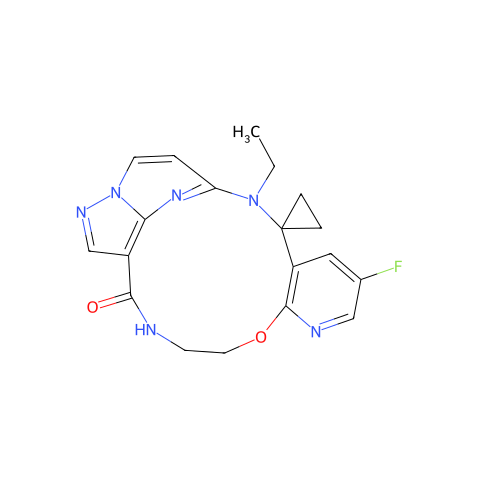 CCN1c2ccn3ncc(c3n2)C(=O)NCCOc2ncc(F)cc2C12CC2